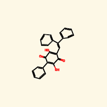 O=C1C(O)=C(c2ccccc2)C(=O)C(O)=C1C=C(c1ccccc1)c1ccccc1